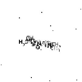 CC(C)N1CCN(CCN2CCC3(CCN(C(C)C)CC3)CC2=O)CC1